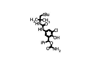 CC(C)C(OC(N)=O)c1cc(NC(=O)NC(C)(C)CC(C)(C)C)cc(Cl)c1O